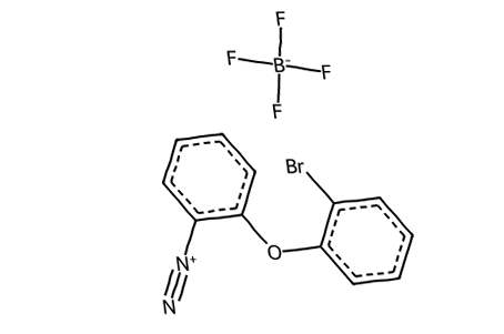 F[B-](F)(F)F.N#[N+]c1ccccc1Oc1ccccc1Br